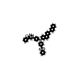 c1ccc2cc(-c3ccc4c(ccc5cc(N(c6ccc(-c7cc8c(nn7)oc7ccccc78)cc6)c6ccc(-c7nc8ccccc8o7)cc6)ccc54)c3)ccc2c1